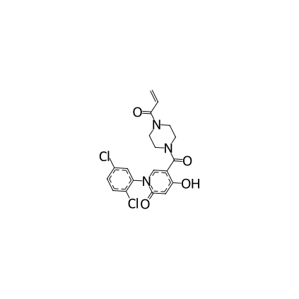 C=CC(=O)N1CCN(C(=O)c2cn(-c3cc(Cl)ccc3Cl)c(=O)cc2O)CC1